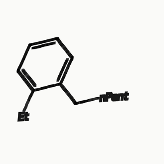 [CH2]Cc1ccccc1CCCCCC